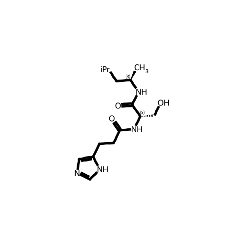 CC(C)C[C@@H](C)NC(=O)[C@H](CO)NC(=O)CCc1cnc[nH]1